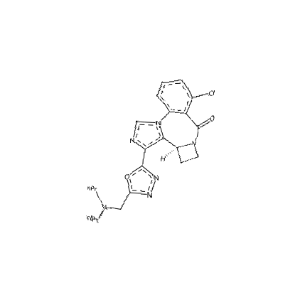 CCCN(CCC)Cc1nnc(-c2ncn3c2[C@@H]2CCN2C(=O)c2c(Cl)cccc2-3)o1